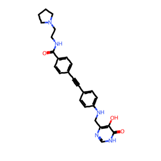 O=C(NCCN1CCCC1)c1ccc(C#Cc2ccc(NCc3nc[nH]c(=O)c3O)cc2)cc1